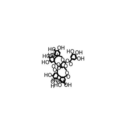 O=C1OC2C(OCc3cc(O)c(O)c(O)c3C3=C1C=C(O)C(O)C3O)[C@H](OC(=O)c1cc(O)c(O)c(O)c1)OC1COC(=O)c3cc(O)c(O)c(O)c3-c3c(cc(O)c(O)c3O)C(=O)O[C@H]12